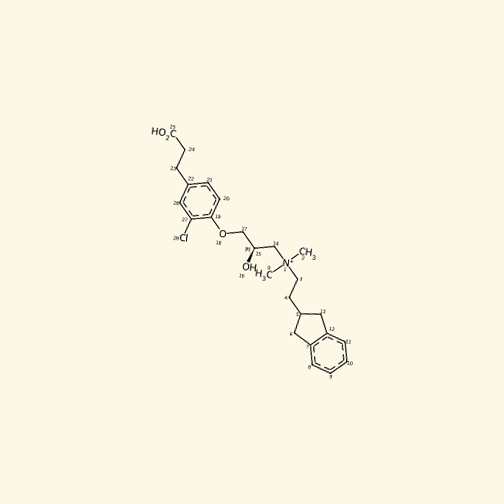 C[N+](C)(CCC1Cc2ccccc2C1)C[C@@H](O)COc1ccc(CCC(=O)O)cc1Cl